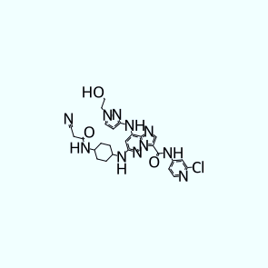 N#CCC(=O)NC1CCC(Nc2cc(Nc3ccn(CCO)n3)c3ncc(C(=O)Nc4ccnc(Cl)c4)n3n2)CC1